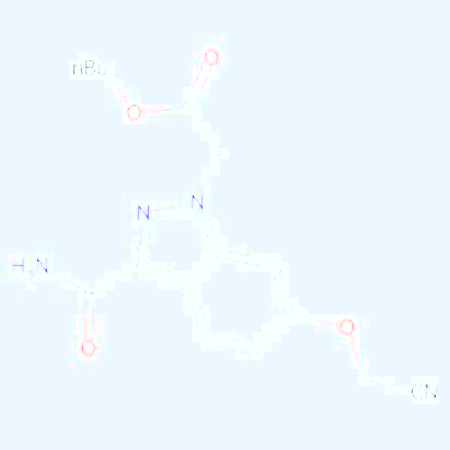 CCCCOC(=O)Cn1nc(C(N)=O)c2ccc(OCC#N)cc21